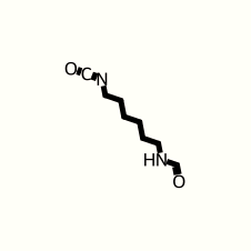 O=C=NCCCCCCNC=O